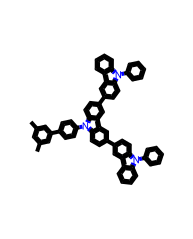 Cc1cc(C)cc(-c2ccc(-n3c4ccc(-c5ccc6c(c5)c5ccccc5n6-c5ccccc5)cc4c4cc(-c5ccc6c(c5)c5ccccc5n6-c5ccccc5)ccc43)cc2)c1